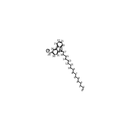 CCCCCCCCCCCCCCCCCCn1c2ccccc2c2cc(C=O)ccc21